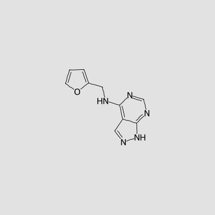 c1coc(CNc2ncnc3[nH]ncc23)c1